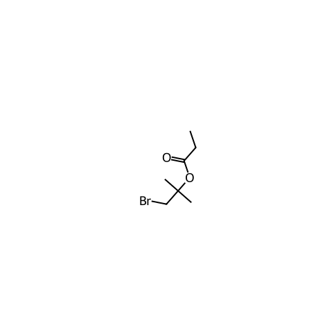 CCC(=O)OC(C)(C)CBr